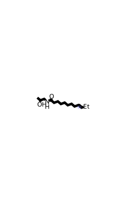 CC/C=C/CCCCCCCC(=O)NCC(C)O